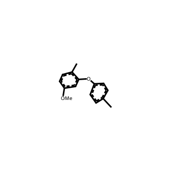 COc1ccc(C)c(Oc2ccc(C)cc2)c1